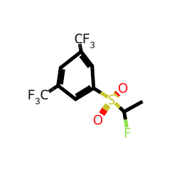 CC(F)S(=O)(=O)c1cc(C(F)(F)F)cc(C(F)(F)F)c1